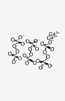 O=S(=O)([O-])OOS(=O)(=O)[O-].O=S(=O)([O-])OOS(=O)(=O)[O-].O=S(=O)([O-])OOS(=O)(=O)[O-].[Ga+3].[Ga+3]